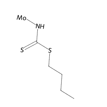 CCCCSC(=S)[NH][Mo]